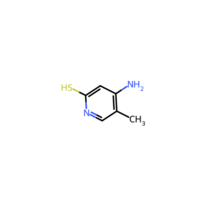 Cc1cnc(S)cc1N